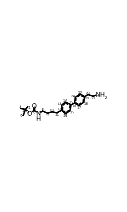 CC(C)(C)OC(=O)NCCCCc1ccc(-c2ccc(CCN)cc2)cc1